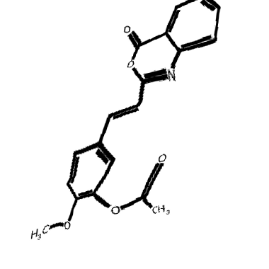 COc1ccc(C=Cc2nc3ccccc3c(=O)o2)cc1OC(C)=O